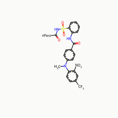 CCCCCC(=O)NS(=O)(=O)c1ccccc1NC(=O)c1ccc(N(C)c2ccc(C(F)(F)F)cc2[N+](=O)[O-])cc1